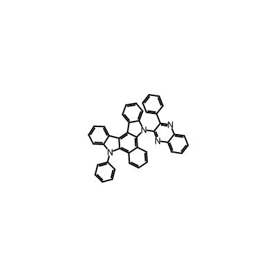 c1ccc(-c2nc3ccccc3nc2-n2c3ccccc3c3c4c5ccccc5n(-c5ccccc5)c4c4ccccc4c32)cc1